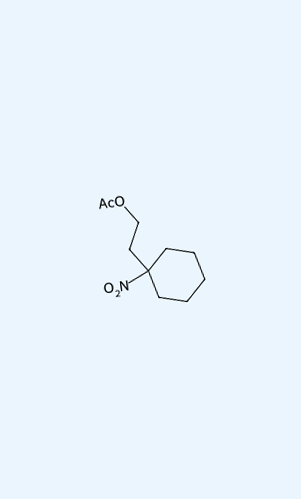 CC(=O)OCCC1([N+](=O)[O-])CCCCC1